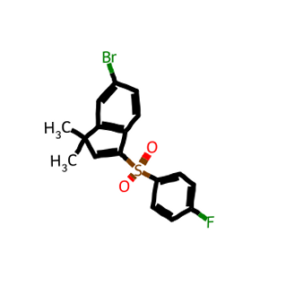 CC1(C)C=C(S(=O)(=O)c2ccc(F)cc2)c2ccc(Br)cc21